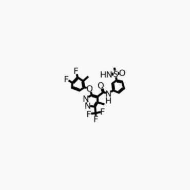 Cc1c(Oc2nnc(C(F)(F)F)c(C)c2C(=O)Nc2cccc(S(C)(=N)=O)c2)ccc(F)c1F